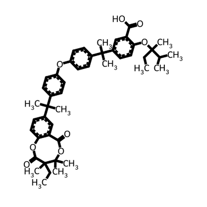 CCC(C)(Oc1ccc(C(C)(C)c2ccc(Oc3ccc(C(C)(C)c4ccc5c(c4)C(=O)OC(C)(C)C(C)(CC)C(=O)O5)cc3)cc2)cc1C(=O)O)C(C)C